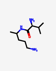 CC(CCCN)NC(=O)[C@@H](N)C(C)C